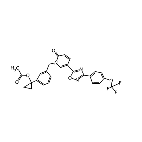 CC(=O)OC1(c2cccc(Cn3cc(-c4nc(-c5ccc(OC(F)(F)F)cc5)no4)ccc3=O)c2)CC1